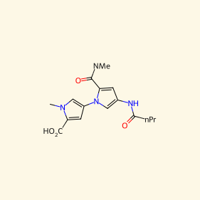 CCCC(=O)Nc1cc(C(=O)NC)n(-c2cc(C(=O)O)n(C)c2)c1